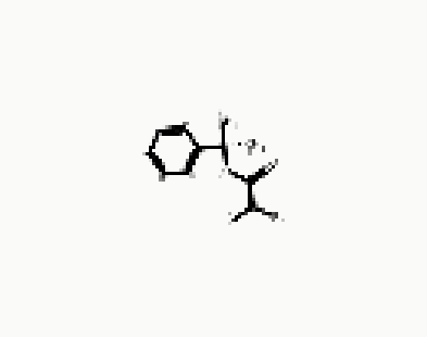 C[C@](N)(OC(=O)C(F)Br)c1ccccc1